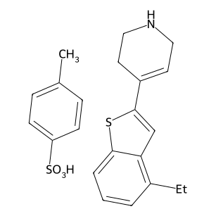 CCc1cccc2sc(C3=CCNCC3)cc12.Cc1ccc(S(=O)(=O)O)cc1